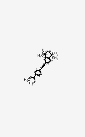 COC(OC)c1ccc(C#Cc2ccc3c(c2)C(C)(C)CCC3(C)C)nc1